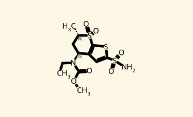 CCN(C(=O)OC)[C@H]1C[C@H](C)S(=O)(=O)c2sc(S(N)(=O)=O)cc21